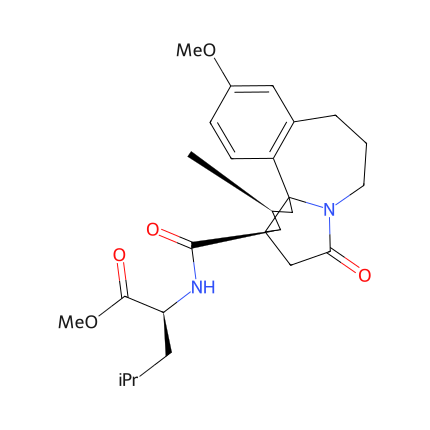 COC(=O)[C@H](CC(C)C)NC(=O)[C@H]1C2CC(=O)N3CCCc4cc(OC)ccc4C23C[C@@H]1C